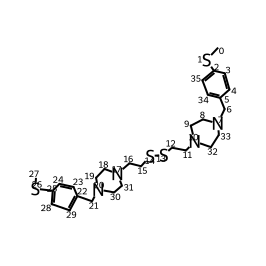 CSc1ccc(CN2CCN(CCSSCCN3CCN(Cc4ccc(SC)cc4)CC3)CC2)cc1